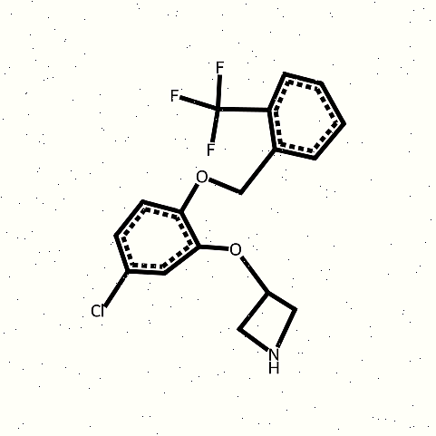 FC(F)(F)c1ccccc1COc1ccc(Cl)cc1OC1CNC1